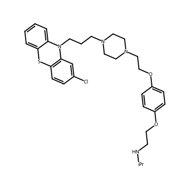 CC(C)NCCOc1ccc(OCCN2CCN(CCCN3c4ccccc4Sc4ccc(Cl)cc43)CC2)cc1